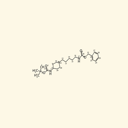 CC(C)(C)OC(=O)NC1CCN(CCCCCNC(=O)OCc2ccccc2)CC1